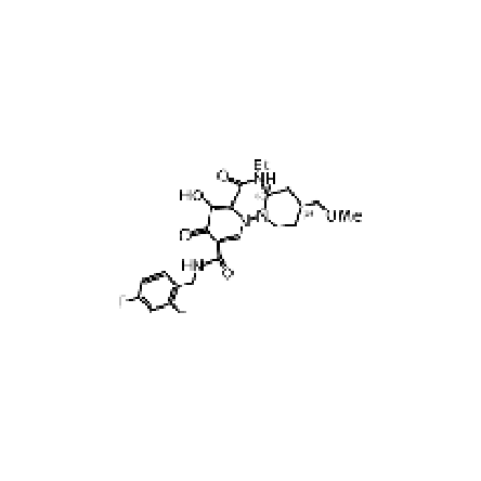 CCN1C(=O)c2c(O)c(=O)c(C(=O)NCc3ccc(F)cc3F)cn2N2CC[C@H](COC)C[C@@H]12